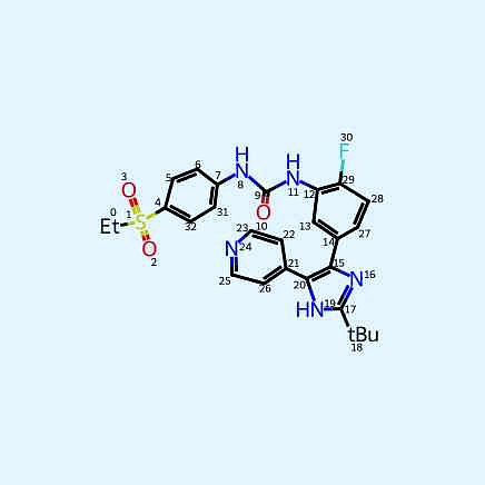 CCS(=O)(=O)c1ccc(NC(=O)Nc2cc(-c3nc(C(C)(C)C)[nH]c3-c3ccncc3)ccc2F)cc1